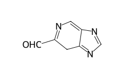 O=CC1=NC=C2N=CN=C2C1